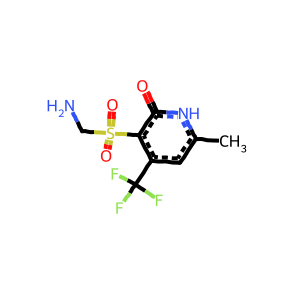 Cc1cc(C(F)(F)F)c(S(=O)(=O)CN)c(=O)[nH]1